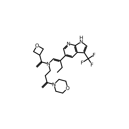 C=C(C1COC1)N(/C=C(\CC)c1cnc2[nH]cc(C(F)(F)F)c2c1)CCC(=C)N1CCOCC1